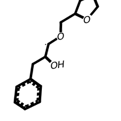 OC([CH]OCC1CCCO1)Cc1ccccc1